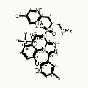 COC[C@H](Cc1ncc(Cl)cn1)S(=O)(=O)N(CC[Si](C)(C)C)c1nnc(-c2cncc(C)c2)n1-c1c(OC)cccc1OC